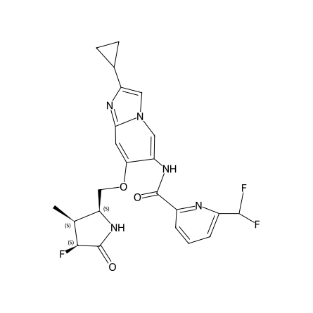 C[C@@H]1[C@H](F)C(=O)N[C@@H]1COc1cc2nc(C3CC3)cn2cc1NC(=O)c1cccc(C(F)F)n1